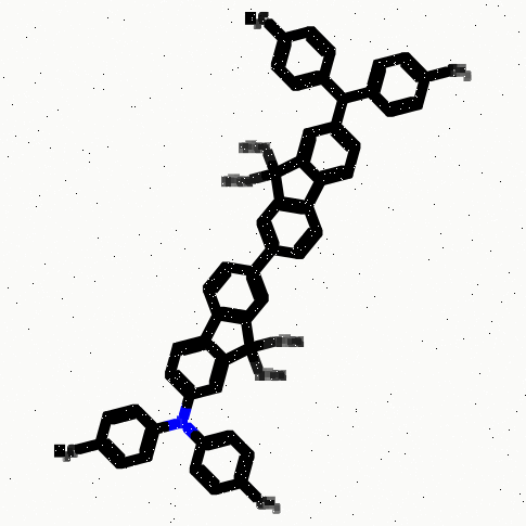 CCCCCCC1(CCCCCC)c2cc(-c3ccc4c(c3)C(CCCCCC)(CCCCCC)c3cc(N(c5ccc(C)cc5)c5ccc(C)cc5)ccc3-4)ccc2-c2ccc(C(c3ccc(C)cc3)c3ccc(C)cc3)cc21